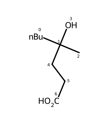 CCCCC(C)(O)CCC(=O)O